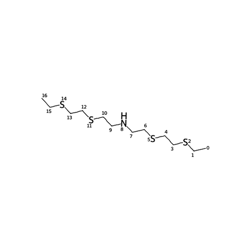 CCSCCSCCNCCSCCSCC